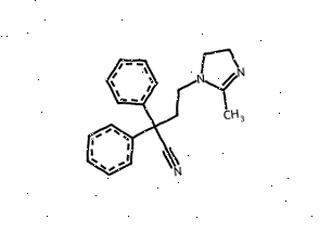 CC1=NCCN1CCC(C#N)(c1ccccc1)c1ccccc1